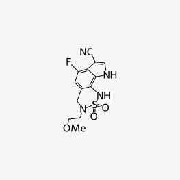 COCCN1Cc2cc(F)c3c(C#N)c[nH]c3c2NS1(=O)=O